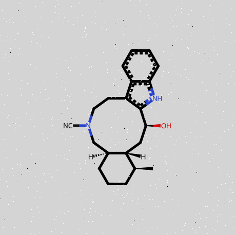 C[C@H]1CCC[C@H]2CN(C#N)CCc3c([nH]c4ccccc34)[C@@H](O)C[C@@H]21